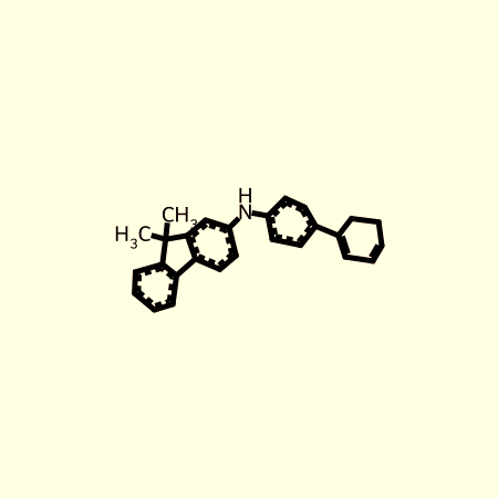 CC1(C)c2ccccc2-c2ccc(Nc3ccc(C4=CC=CCC4)cc3)cc21